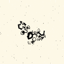 CCCc1nc(C)c2c(=O)[nH]c(-c3cc(S(=O)(=O)N4CCCN(C)CC4)ccc3OCC)nn12